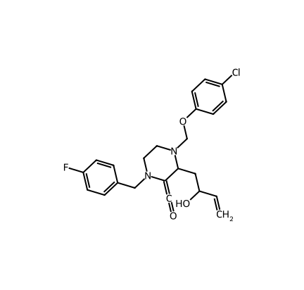 C=CC(O)CC1C(=C=O)N(Cc2ccc(F)cc2)CCN1COc1ccc(Cl)cc1